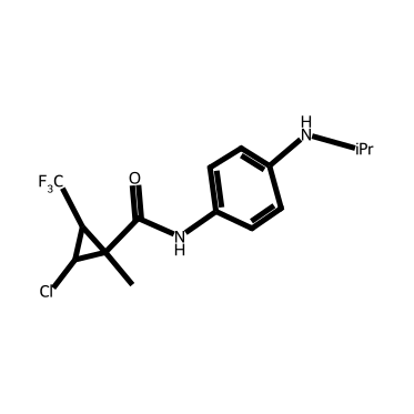 CC(C)Nc1ccc(NC(=O)C2(C)C(Cl)C2C(F)(F)F)cc1